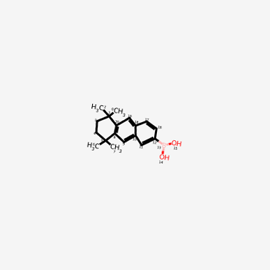 CC1(C)CCC(C)(C)c2cc3cc(B(O)O)ccc3cc21